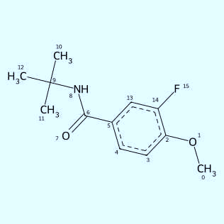 COc1ccc(C(=O)NC(C)(C)C)cc1F